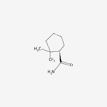 CC1(C)CCCC[C@H]1C(N)=O